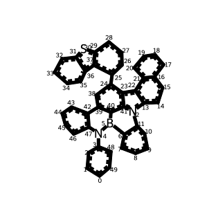 c1ccc(N2B3c4ccccc4-n4c5ccc6ccccc6c5c5c(-c6cccc7sc8ccccc8c67)cc(c3c54)-c3ccccc32)cc1